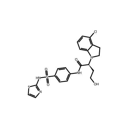 O=C(Nc1ccc(S(=O)(=O)Nc2nccs2)cc1)[C@H](CCO)N1CCc2c(Cl)cccc21